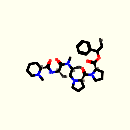 CC(=O)CC(OC(=O)[C@@H]1CCCN1C(=O)[C@@H]1CCCN1C[C@H](C(C)C)N(C)C(=O)[C@@H](NC(=O)[C@H]1CCCCN1C)C(C)(C)C)c1ccccc1